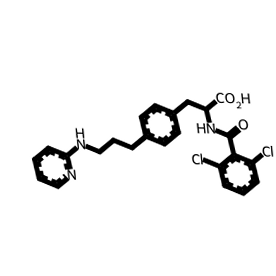 O=C(NC(Cc1ccc(CCCNc2ccccn2)cc1)C(=O)O)c1c(Cl)cccc1Cl